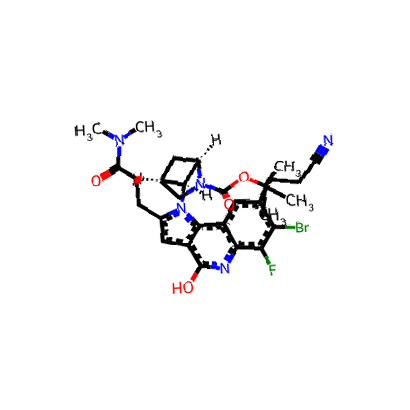 CN(C)C(=O)CCc1cc2c(O)nc3c(F)c(Br)c(CCC#N)cc3c2n1[C@H]1[C@@H]2C[C@H]1N(C(=O)OC(C)(C)C)C2